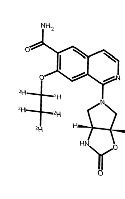 [2H]C([2H])([2H])C([2H])([2H])Oc1cc2c(N3C[C@@H]4OC(=O)N[C@@H]4C3)nccc2cc1C(N)=O